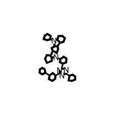 c1ccc(-c2cccc(-c3nc(-c4ccccc4)nc(-c4cccc(-n5c6ccccc6c6cc7c(cc65)c5ccccc5n7-c5ccccc5)c4)n3)c2)cc1